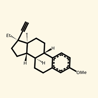 C#C[C@]1(CC)CC[C@H]2[C@@H]3CCc4cc(OC)ccc4[C@H]3CC[C@@]21C